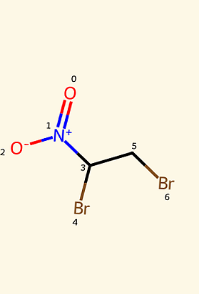 O=[N+]([O-])C(Br)CBr